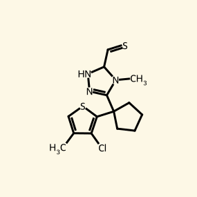 Cc1csc(C2(C3=NNC(C=S)N3C)CCCC2)c1Cl